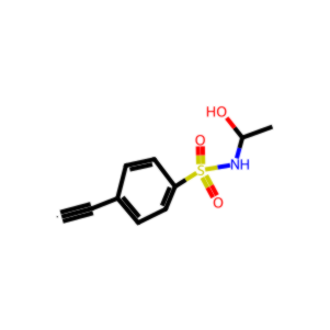 [C]#Cc1ccc(S(=O)(=O)NC(C)O)cc1